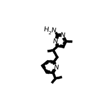 Cc1cc(C(C)Cc2cccc(C(C)C)n2)nc(N)n1